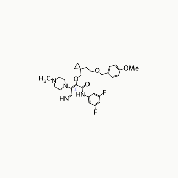 COc1ccc(COCCC2(CO/C(C(=O)Nc3cc(F)cc(F)c3)=C(/C=N)N3CCN(C)CC3)CC2)cc1